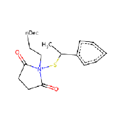 CCCCCCCCCCCC[N+]1(SC(C)c2ccccc2)C(=O)CCC1=O